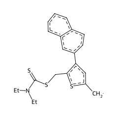 [CH2]c1cc(-c2ccc3ccccc3c2)c(CSC(=S)N(CC)CC)s1